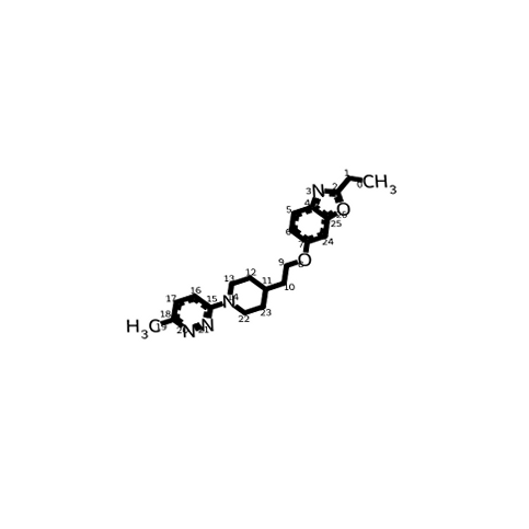 CCc1nc2ccc(OCCC3CCN(c4ccc(C)nn4)CC3)cc2o1